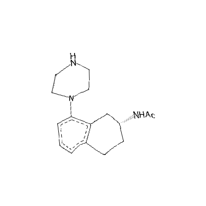 CC(=O)N[C@@H]1CCc2cccc(N3CCNCC3)c2C1